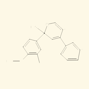 COc1ccc(C2(N)C=C(c3ccccc3)C=CN2)cc1F